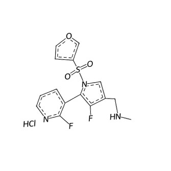 CNCc1cn(S(=O)(=O)c2ccoc2)c(-c2cccnc2F)c1F.Cl